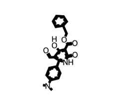 CN(C)c1ccc(-c2[nH]c(=O)c(C(=O)OCc3ccccc3)c(O)c2C=O)cc1